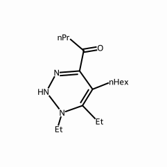 CCCCCCC1=C(CC)N(CC)NN=C1C(=O)CCC